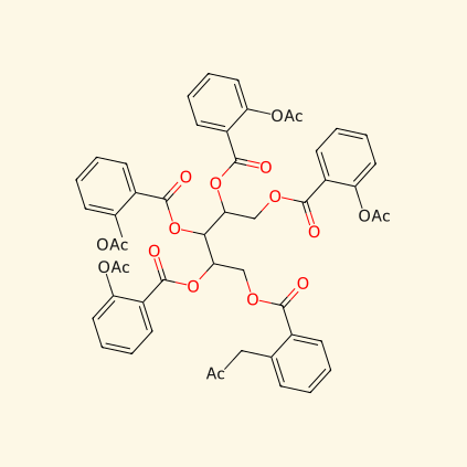 CC(=O)Cc1ccccc1C(=O)OCC(OC(=O)c1ccccc1OC(C)=O)C(OC(=O)c1ccccc1OC(C)=O)C(COC(=O)c1ccccc1OC(C)=O)OC(=O)c1ccccc1OC(C)=O